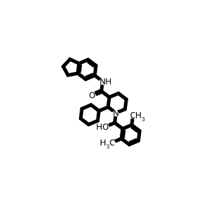 Cc1cccc(C)c1C(O)N1CCCC(C(=O)Nc2ccc3c(c2)CCC3)C1C1CCCCC1